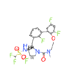 CN1CCOc2c(F)cc(F)cc2-c2cccc(c2F)C[C@H]2[C@@H](NS(=O)(=O)C(F)F)[C@@H](F)CN2C1=O